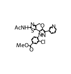 COC(=O)c1ccc(-n2nc(-c3cccnc3)c3c2-c2sc(NC(C)=O)nc2CO3)c(Cl)c1